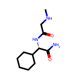 CNCC(=O)N[C@H](C(N)=O)C1CCCCC1